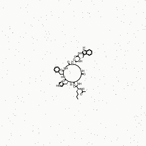 CCCC[C@H](NC(C)=O)C(=O)N[C@H]1CCC(=O)NCC[C@@H](C(=O)N[C@@H](Cc2c[nH]c3ccccc23)C(N)=O)NC(=O)CNC(=O)C(Cc2ccccc2)NC(=O)[C@H](Cc2c[nH]cn2)NC1=O